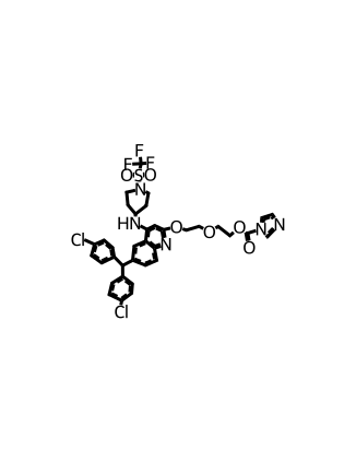 O=C(OCCOCCOc1cc(NC2CCN(S(=O)(=O)C(F)(F)F)CC2)c2cc(C(c3ccc(Cl)cc3)c3ccc(Cl)cc3)ccc2n1)n1ccnc1